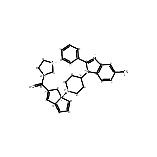 N#Cc1ccc2c(c1)nc(-c1ccccc1)n2C1CCN([N@@+]23C=CC=C2C=C(C(=O)N2CCSC2)C3)CC1